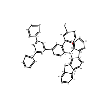 Fc1cccc(-c2cc(-c3nc(-c4ccccc4)nc(-c4ccccc4)n3)ccc2-n2c3ccccc3c3ccc4c5ccccc5oc4c32)c1